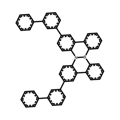 c1ccc(-c2cccc(-c3ccc4c(c3)-c3ccccc3B3c5ccccc5-c5cc(-c6cccc(-c7ccccc7)c6)ccc5N34)c2)cc1